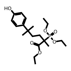 CCOC(=O)C(C)(CCC(C)(C)c1ccc(O)cc1)P(=O)(OCC)OCC